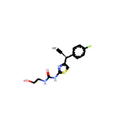 C#C[C@@H](c1ccc(F)cc1)c1csc(NC(=O)NCCO)n1